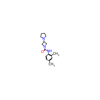 Cc1ccc(NC(=O)N2CC(N3CCCC3)C2)c(C)c1